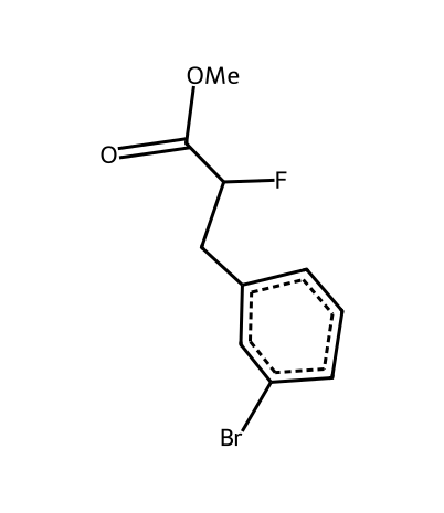 COC(=O)C(F)Cc1cccc(Br)c1